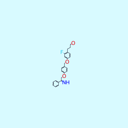 N=C(COc1ccc(COc2ccc(CCC=O)c(F)c2)cc1)c1ccccc1